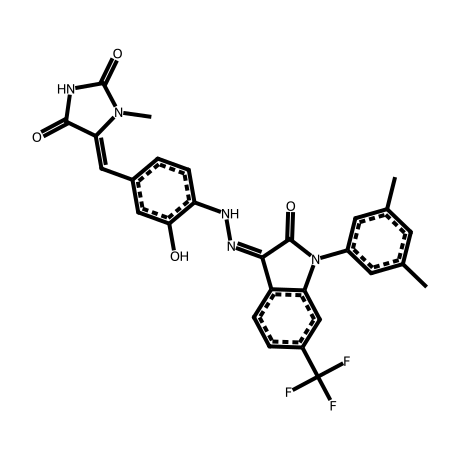 Cc1cc(C)cc(N2C(=O)/C(=N\Nc3ccc(C=C4C(=O)NC(=O)N4C)cc3O)c3ccc(C(F)(F)F)cc32)c1